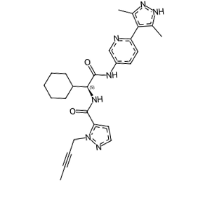 CC#CCn1nccc1C(=O)N[C@H](C(=O)Nc1ccc(-c2c(C)n[nH]c2C)nc1)C1CCCCC1